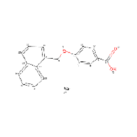 O=C(O)c1ccc(OCc2cccc3ccccc23)cc1.[Na]